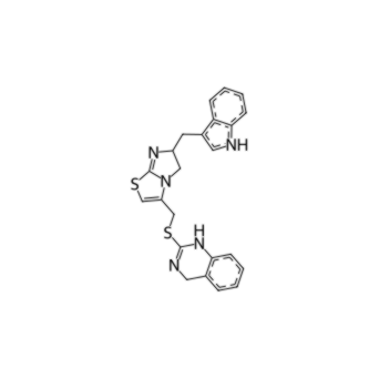 C1=C(CSC2=NCc3ccccc3N2)N2CC(Cc3c[nH]c4ccccc34)N=C2S1